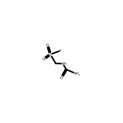 NC(=O)NCS(=O)(=O)F